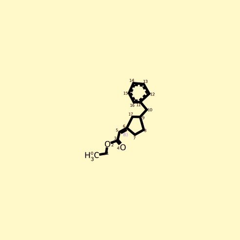 CCOC(=O)/C=C1\CCC(Cc2ccccc2)C1